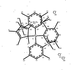 CC1=C(C)C(C)([Si](c2cc(C)cc(C)c2[Si](C)(C)C)(c2cc(C)cc(C)c2[Si](C)(C)C)c2cc(C)cc(C)c2[Si](C)(C)C)[C]([Ti+3])=C1C.[Cl-].[Cl-].[Cl-]